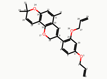 C=CCOc1ccc(C2=Cc3c(C)cc4c(c3OC2)C=CC(C)(C)O4)c(OCC=C)c1